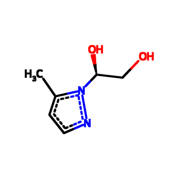 Cc1ccnn1[C@@H](O)CO